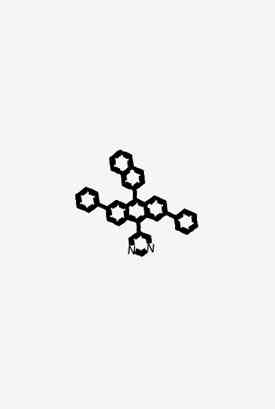 c1ccc(-c2ccc3c(-c4ccc5ccccc5c4)c4cc(-c5ccccc5)ccc4c(-c4cncnc4)c3c2)cc1